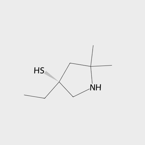 CC[C@]1(S)CNC(C)(C)C1